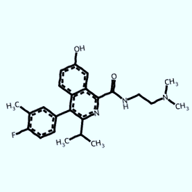 Cc1cc(-c2c(C(C)C)nc(C(=O)NCCN(C)C)c3cc(O)ccc23)ccc1F